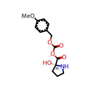 COc1ccc(COC(=O)OC(=O)[C@]2(O)CCCN2)cc1